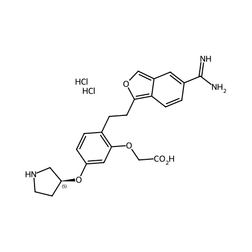 Cl.Cl.N=C(N)c1ccc2c(CCc3ccc(O[C@H]4CCNC4)cc3OCC(=O)O)occ2c1